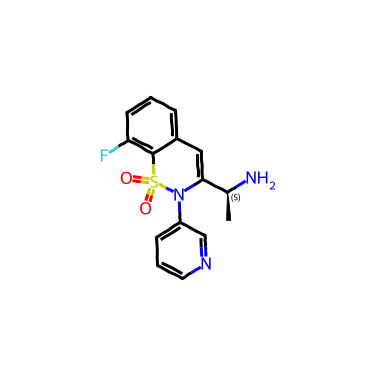 C[C@H](N)C1=Cc2cccc(F)c2S(=O)(=O)N1c1cccnc1